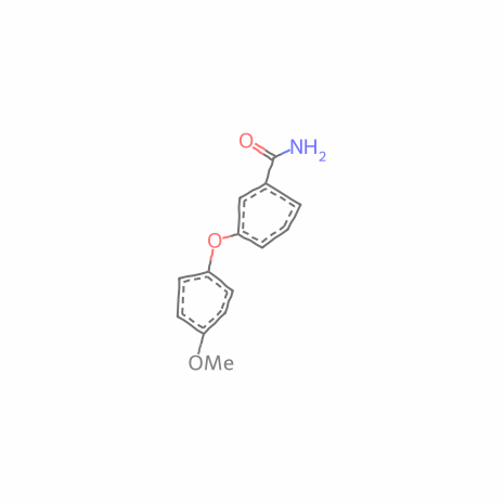 COc1ccc(Oc2cccc(C(N)=O)c2)cc1